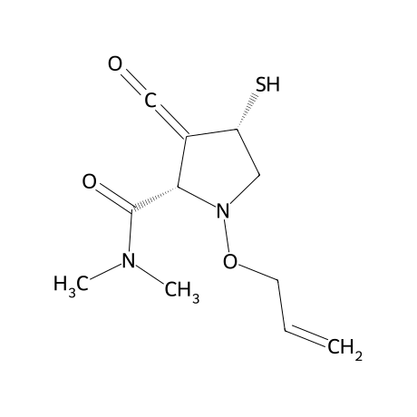 C=CCON1C[C@@H](S)C(=C=O)[C@H]1C(=O)N(C)C